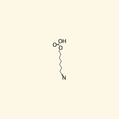 N#CCCCCCCCOC(=O)O